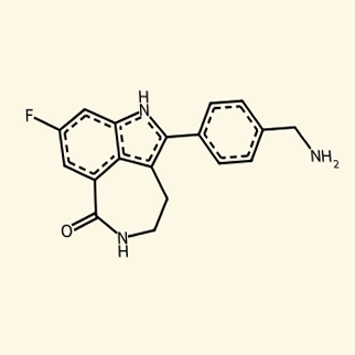 NCc1ccc(-c2[nH]c3cc(F)cc4c3c2CCNC4=O)cc1